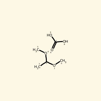 COC(C)OC.O=C(O)O